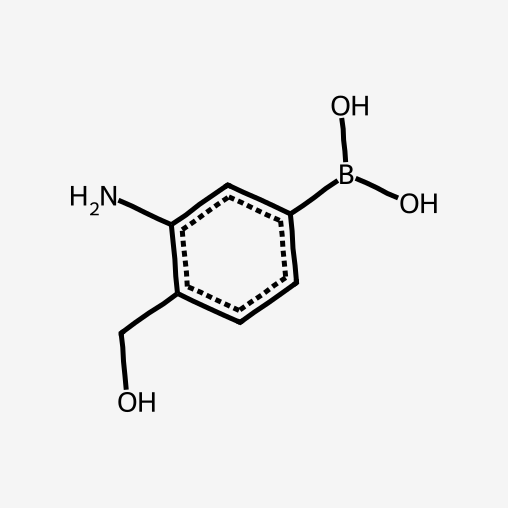 Nc1cc(B(O)O)ccc1CO